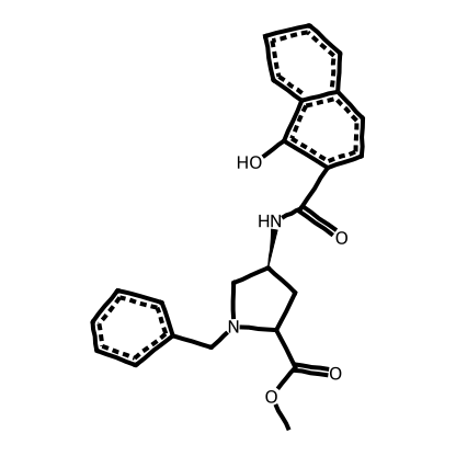 COC(=O)C1C[C@H](NC(=O)c2ccc3ccccc3c2O)CN1Cc1ccccc1